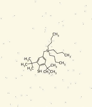 CCCC[Si](CCCC)(CCCC)Cc1cc(C(C)(C)C)c(S)c(C(C)(C)C)c1